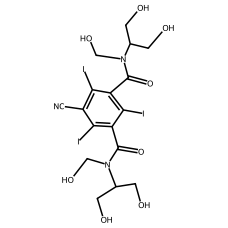 N#Cc1c(I)c(C(=O)N(CO)C(CO)CO)c(I)c(C(=O)N(CO)C(CO)CO)c1I